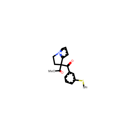 CCCSc1cccc(C(=O)C2(C(=O)OC)CCn3cccc32)c1